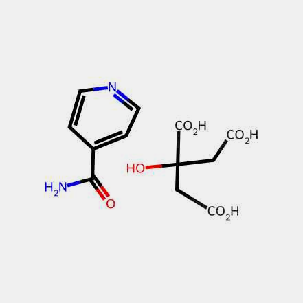 NC(=O)c1ccncc1.O=C(O)CC(O)(CC(=O)O)C(=O)O